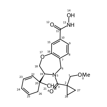 COCC1(C(=O)N2Cc3ccc(C(=O)NO)cc3OC[C@@H]2C2(C)C=CC=CC2)CC1